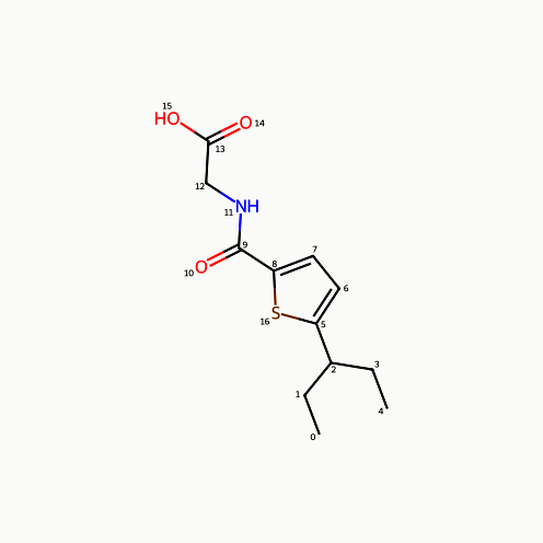 CCC(CC)c1ccc(C(=O)NCC(=O)O)s1